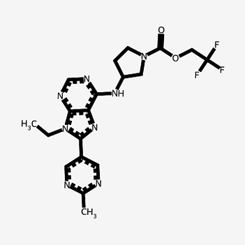 CCn1c(-c2cnc(C)nc2)nc2c(NC3CCN(C(=O)OCC(F)(F)F)C3)ncnc21